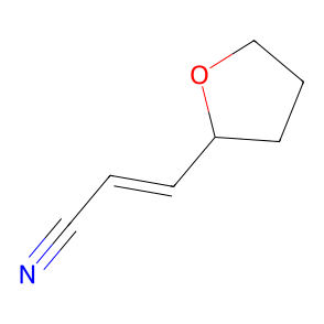 N#CC=CC1CCCO1